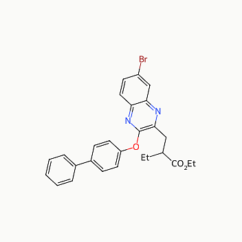 CCOC(=O)C(CC)Cc1nc2cc(Br)ccc2nc1Oc1ccc(-c2ccccc2)cc1